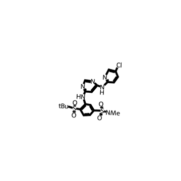 CNS(=O)(=O)c1ccc(S(=O)(=O)C(C)(C)C)c(Nc2cc(Nc3ccc(Cl)cn3)ncn2)c1